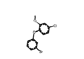 COc1cc(Cl)ccc1Oc1cccc(Br)c1